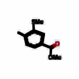 COC(=O)c1ccc(C)c(SC)c1